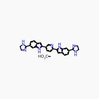 CC(=O)O.c1cc2cc(-c3ccc(-c4cc5ccc(C6=NCCN6)cc5[nH]4)nc3)[nH]c2cc1C1=NCCN1